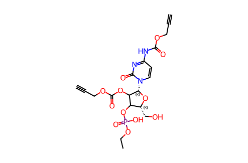 C#CCOC(=O)Nc1ccn([C@@H]2O[C@H](CO)C(OP(=O)(O)OCC)C2OC(=O)OCC#C)c(=O)n1